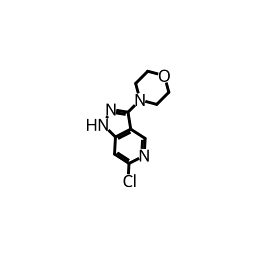 Clc1cc2[nH]nc(N3CCOCC3)c2cn1